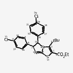 CCOC(=O)C1=C(C(C)(C)C)N2C(=NC(c3ccc(Cl)cc3)C2c2ccc(Cl)cc2)S1